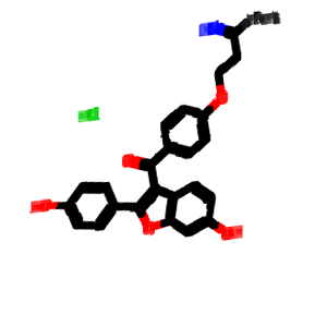 CCCCCC(=N)CCOc1ccc(C(=O)c2c(-c3ccc(O)cc3)oc3cc(O)ccc23)cc1.Cl